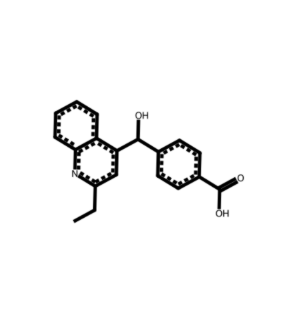 CCc1cc(C(O)c2ccc(C(=O)O)cc2)c2ccccc2n1